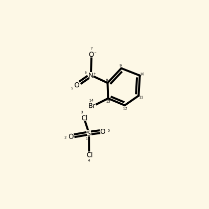 O=S(=O)(Cl)Cl.O=[N+]([O-])c1ccccc1Br